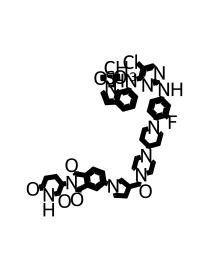 CS(=O)(=O)n1ccc2cccc(Nc3nc(Nc4ccc(N5CCC(N6CCN(C(=O)C7CCN(c8ccc9c(c8)C(=O)N(C8CCC(=O)NC8=O)C9=O)C7)CC6)CC5)c(F)c4)ncc3Cl)c21